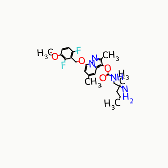 CCCC(C)(N)CNC(=O)Oc1c(C)nn2c(OCc3c(F)ccc(OC)c3F)cc(C)cc12